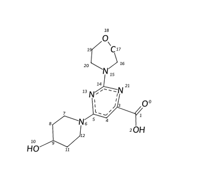 O=C(O)c1cc(N2CCC(O)CC2)nc(N2CCOCC2)n1